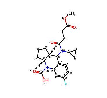 COC(=O)CCC(=O)N(C1CC1)C1c2ccc(F)cc2N(C(=O)O)[C@@H]2CCC[C@H]12